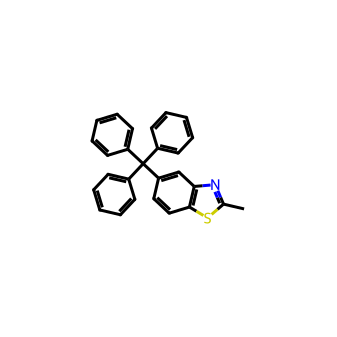 Cc1nc2cc(C(c3ccccc3)(c3ccccc3)c3ccccc3)ccc2s1